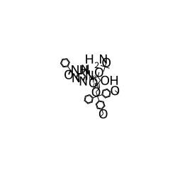 COc1ccc(C(OC[C@H]2O[C@@H](n3cnc4c(NC(=O)c5ccccc5)ncnc43)C(OCC(C)(C)ON)C2O)(c2ccccc2)c2ccc(OC)cc2)cc1